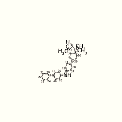 CC1(C)CC(C)(C)c2cc(-c3ccc(Nc4ccc(-c5ccccc5)cc4)cc3)ccc21